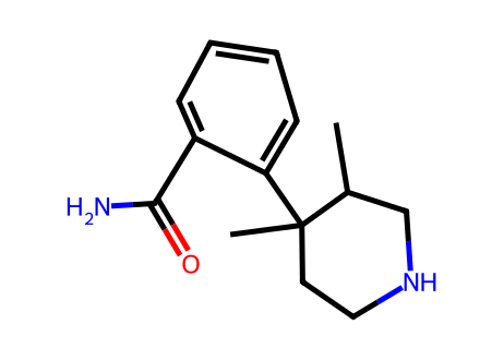 CC1CNCCC1(C)c1ccccc1C(N)=O